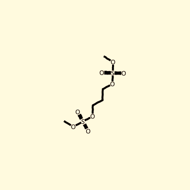 COS(=O)(=O)OCCCOS(=O)(=O)OC